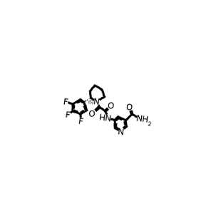 NC(=O)c1cncc(NC(=O)C(=O)N2CCCC[C@H]2c2cc(F)c(F)c(F)c2)c1